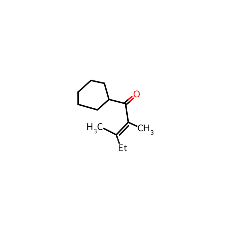 CCC(C)=C(C)C(=O)C1CCCCC1